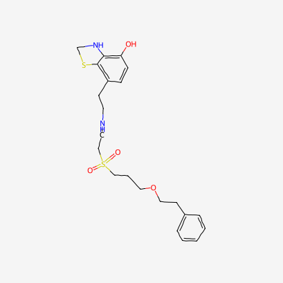 O=S(=O)(CCCOCCc1ccccc1)CCNCCc1ccc(O)c2c1SCN2